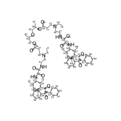 CCN(CCNC(=O)C(=O)Nc1c(C)cc(C)c(C(=O)P(=O)(c2ccccc2)c2ccccc2)c1C)CCC(=O)OCC(C)OCC(C)OC(=O)CCN(CC)CCNC(=O)C(=O)Nc1c(C)cc(C)c(C(=O)P(=O)(c2ccccc2)c2ccccc2)c1C